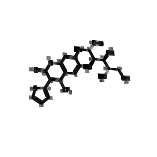 O=C[C@@H](Nc1ccc2c(C(F)(F)F)c(-c3cccs3)c(=O)oc2c1)[C@H](O)[C@@H](O)[C@@H](O)CO